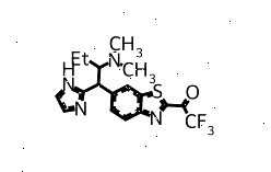 CCC(C(c1ccc2nc(C(=O)C(F)(F)F)sc2c1)c1ncc[nH]1)N(C)C